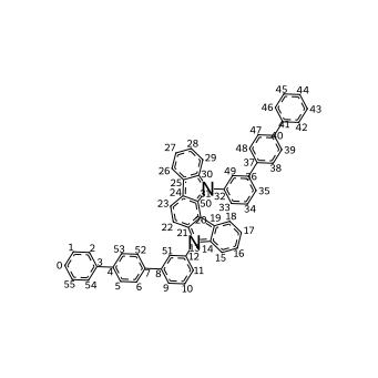 c1ccc(-c2ccc(-c3cccc(-n4c5ccccc5c5c4ccc4c6ccccc6n(-c6cccc(-c7ccc(-c8ccccc8)cc7)c6)c45)c3)cc2)cc1